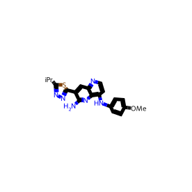 COc1ccc(Nc2ccnc3cc(-c4nnc(C(C)C)s4)c(N)nc23)cc1